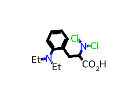 CCN(CC)c1ccccc1CC(C(=O)O)N(Cl)Cl